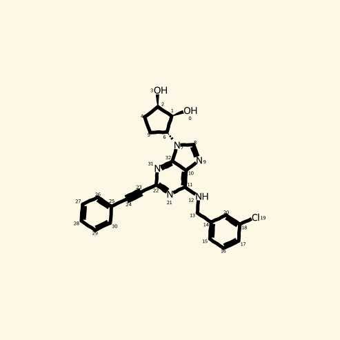 O[C@@H]1[C@H](O)CC[C@H]1n1cnc2c(NCc3cccc(Cl)c3)nc(C#Cc3ccccc3)nc21